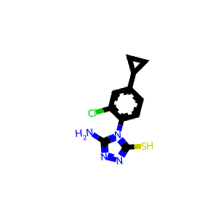 Nc1nnc(S)n1-c1ccc(C2CC2)cc1Cl